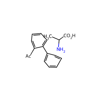 CC(=O)c1ccccc1-c1ccccc1.CC(N)C(=O)O